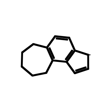 [CH]1C=Cc2c1ccc1c2CCCCC1